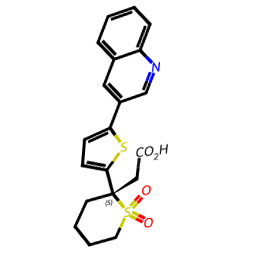 O=C(O)C[C@]1(c2ccc(-c3cnc4ccccc4c3)s2)CCCCS1(=O)=O